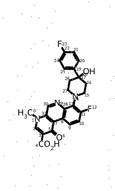 Cn1cc(C(=O)O)c(=O)c2c3ccc(F)c(N4CCC(O)(c5ccc(F)cc5)CC4)c3ncc21